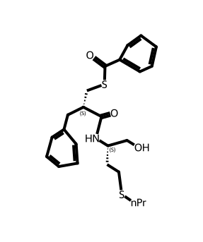 CCCSCC[C@@H](CO)NC(=O)[C@@H](CSC(=O)c1ccccc1)Cc1ccccc1